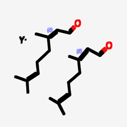 CC(C)=CCC/C(C)=C\C=O.CC(C)=CCC/C(C)=C\C=O.[Y]